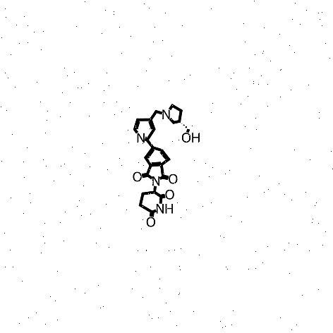 O=C1CCC(N2C(=O)c3ccc(-c4cc(CN5CC[C@H](CO)C5)ccn4)cc3C2=O)C(=O)N1